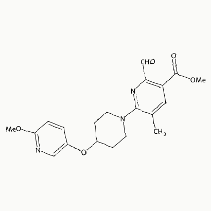 COC(=O)c1cc(C)c(N2CCC(Oc3ccc(OC)nc3)CC2)nc1C=O